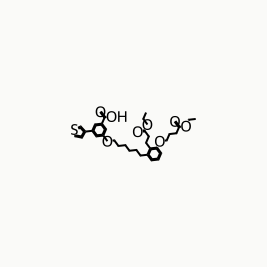 CCOC(=O)CCCOc1cccc(CCCCCCOc2cc(C(=O)O)cc(-c3ccsc3)c2)c1CCC(=O)OCC